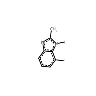 Cc1nc2cccc(I)c2n1I